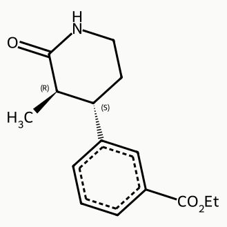 CCOC(=O)c1cccc([C@H]2CCNC(=O)[C@@H]2C)c1